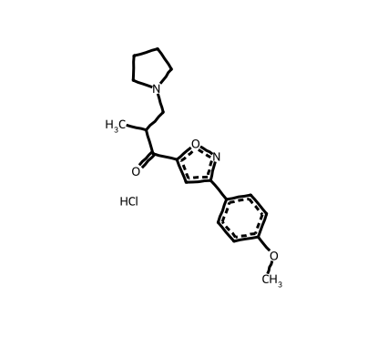 COc1ccc(-c2cc(C(=O)C(C)CN3CCCC3)on2)cc1.Cl